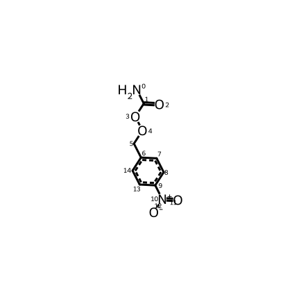 NC(=O)OOCc1ccc([N+](=O)[O-])cc1